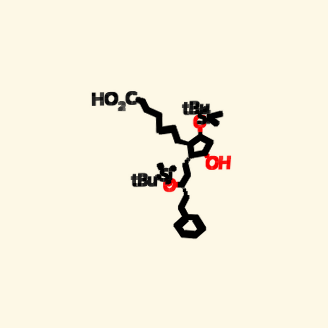 CC(C)(C)[Si](C)(C)O[C@@H](CCc1ccccc1)CC[C@@H]1[C@@H](CC=CCCCC(=O)O)[C@@H](O[Si](C)(C)C(C)(C)C)C[C@H]1O